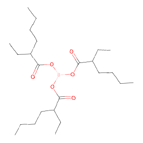 CCCCC(CC)C(=O)OB(OC(=O)C(CC)CCCC)OC(=O)C(CC)CCCC